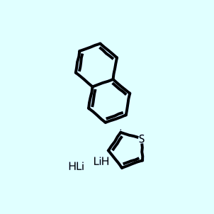 [LiH].[LiH].[c]1cccs1.c1ccc2ccccc2c1